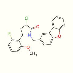 COc1cccc(F)c1C1CC(Cl)C(=O)N1Cc1ccc2oc3ccccc3c2c1